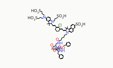 CNC(=O)C(CNC(=O)CCCCCN1/C(=C/C=C2\CCCC(/C=C/C3N(CCCS(=O)(=O)O)c4ccc(N(CCCS(=O)(=O)O)CCCS(=O)(=O)O)cc4C3(C)C)=C2Cl)C(C)(C)c2c1ccc1cc(S(=O)(=O)O)ccc21)NC(=O)C(Cc1ccccc1)NC(=O)OCc1ccccc1